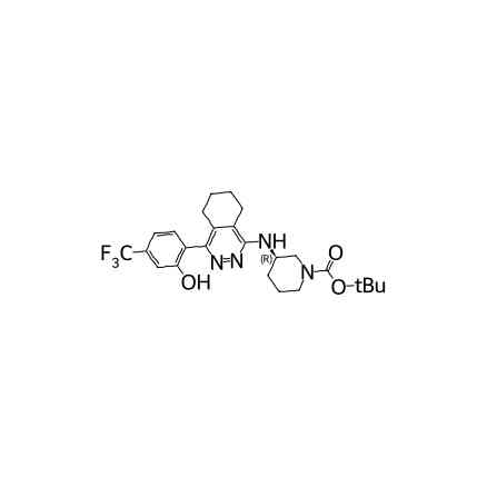 CC(C)(C)OC(=O)N1CCC[C@@H](Nc2nnc(-c3ccc(C(F)(F)F)cc3O)c3c2CCCC3)C1